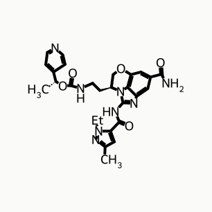 CCn1nc(C)cc1C(=O)Nc1nc2cc(C(N)=O)cc3c2n1[C@@H](CCNC(=O)O[C@H](C)c1ccncc1)CO3